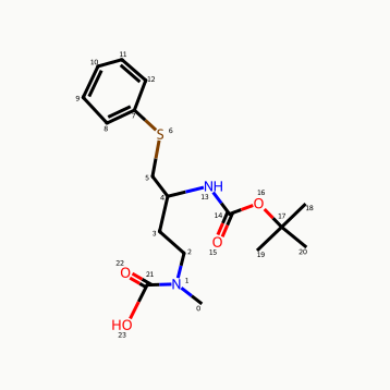 CN(CCC(CSc1ccccc1)NC(=O)OC(C)(C)C)C(=O)O